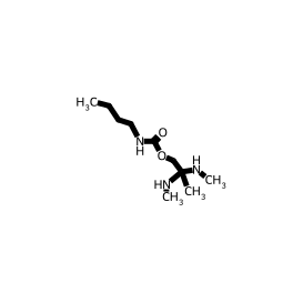 CCCCNC(=O)OCC(C)(NC)NC